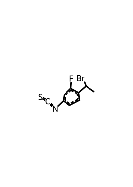 CC(Br)c1ccc(N=C=S)cc1F